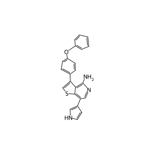 Nc1ncc(-c2cc[nH]c2)c2scc(-c3ccc(Oc4ccccc4)cc3)c12